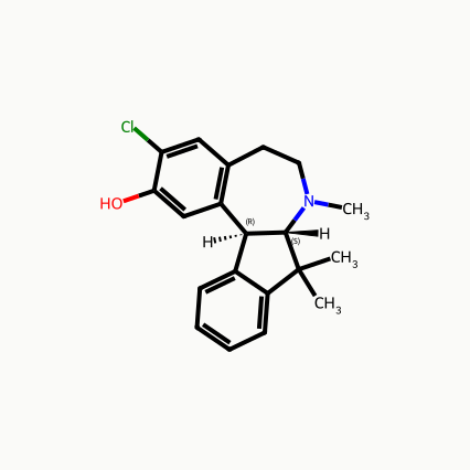 CN1CCc2cc(Cl)c(O)cc2[C@@H]2c3ccccc3C(C)(C)[C@H]21